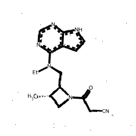 CCN(CC1[C@@H](C)CN1C(=O)CC#N)c1ncnc2[nH]ccc12